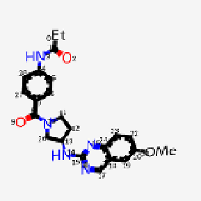 CCC(=O)Nc1ccc(C(=O)N2CC[C@@H](Nc3ncc4cc(OC)ccc4n3)C2)cc1